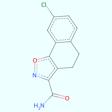 NC(=O)c1noc2c1CCc1ccc(Cl)cc1-2